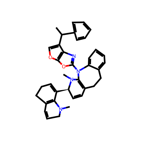 CC(c1ccccc1)c1coc2oc(N3C4=C(C=C[C@@H](C5=CCCC6=C5N(C)CC=C6)N4C)CCc4ccccc43)nc12